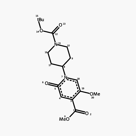 COC(=O)c1cc(=O)n(C2CCN(C(=O)OC(C)(C)C)CC2)cc1OC